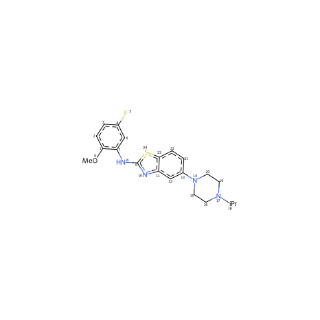 COc1ccc(F)cc1Nc1nc2cc(N3CCN(C(C)C)CC3)ccc2s1